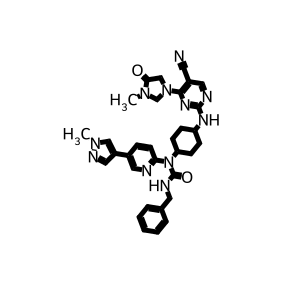 CN1CN(c2nc(NC3CCC(N(C(=O)NCc4ccccc4)c4ccc(-c5cnn(C)c5)cn4)CC3)ncc2C#N)CC1=O